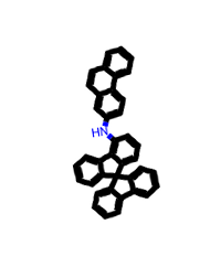 c1ccc2c(c1)-c1ccccc1C21c2ccccc2-c2c(Nc3ccc4c(ccc5ccccc54)c3)cccc21